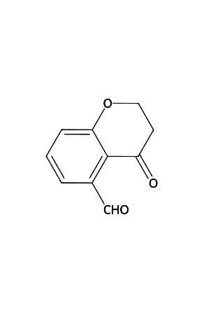 O=Cc1cccc2c1C(=O)CCO2